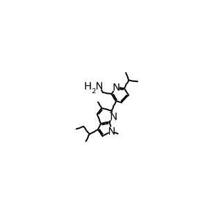 CCC(C)c1cn(C)c2nc(-c3ccc(C(C)C)nc3CN)c(C)cc12